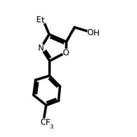 CCc1nc(-c2ccc(C(F)(F)F)cc2)oc1CO